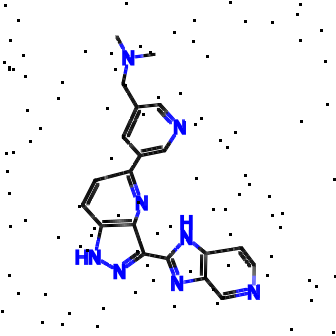 CN(C)Cc1cncc(-c2ccc3[nH]nc(-c4nc5cnccc5[nH]4)c3n2)c1